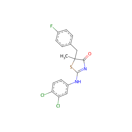 CC1(Cc2ccc(F)cc2)SC(Nc2ccc(Cl)c(Cl)c2)=NC1=O